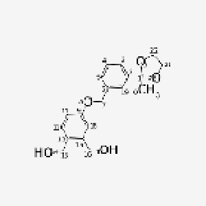 CC1(c2cccc(COc3ccc(CO)c(CO)c3)c2)OCCO1